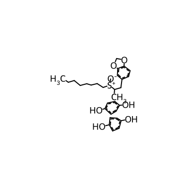 CCCCCCCC[S+]([O-])C(C)Cc1ccc2c(c1)OCO2.Oc1ccc(O)cc1.Oc1ccc(O)cc1